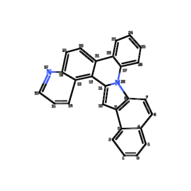 c1ccc2c(c1)ccc1c2cc2c3c4cccnc4ccc3c3ccccc3n12